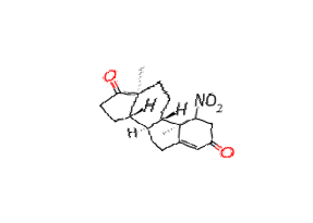 C[C@]12CC[C@H]3[C@@H](CCC4=CC(=O)CC([N+](=O)[O-])[C@@]43C)[C@@H]1CCC2=O